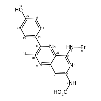 CCNc1nc(NC(=O)O)cc2nc(C)c(-c3ccc(O)cc3)nc12